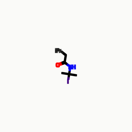 CC(C)CC(=O)NC(C)(C)I